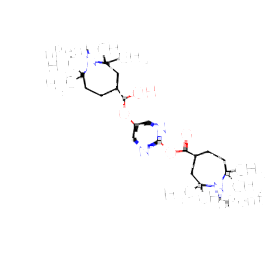 CCCCCN1C(C)(C)CCC(C(=O)Oc2ncc(OC(O)C3CCC(C)(C)N(CCCCC)C(C)(C)C3)cn2)CC1(C)C